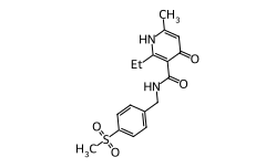 CCc1[nH]c(C)cc(=O)c1C(=O)NCc1ccc(S(C)(=O)=O)cc1